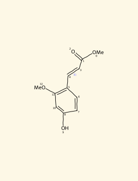 COC(=O)/C=C/c1ccc(O)cc1OC